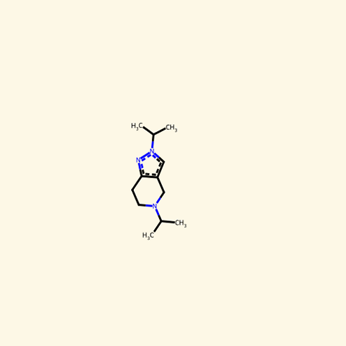 CC(C)N1CCc2nn(C(C)C)cc2C1